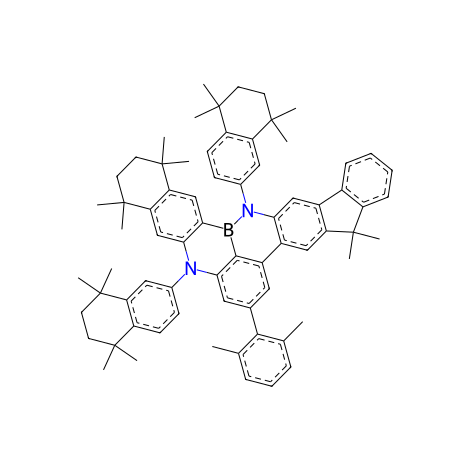 Cc1cccc(C)c1-c1cc2c3c(c1)N(c1ccc4c(c1)C(C)(C)CCC4(C)C)c1cc4c(cc1B3N(c1ccc3c(c1)C(C)(C)CCC3(C)C)c1cc3c(cc1-2)C(C)(C)c1ccccc1-3)C(C)(C)CCC4(C)C